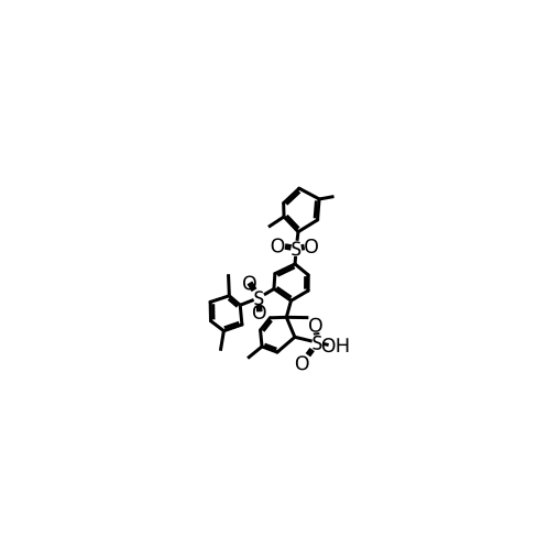 CC1=CC(S(=O)(=O)O)C(C)(c2ccc(S(=O)(=O)c3cc(C)ccc3C)cc2S(=O)(=O)c2cc(C)ccc2C)C=C1